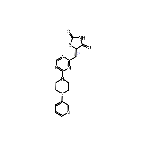 O=C1NC(=O)/C(=C/c2ncnc(N3CCN(c4cccnc4)CC3)n2)S1